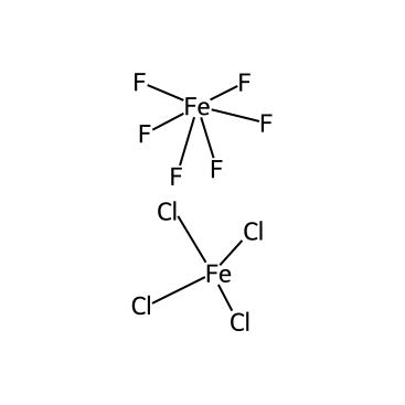 [Cl][Fe]([Cl])([Cl])[Cl].[F][Fe]([F])([F])([F])([F])[F]